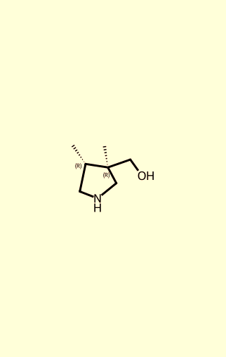 C[C@H]1CNC[C@]1(C)CO